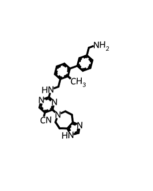 Cc1c(CNc2ncc(C#N)c(N3CCc4nc[nH]c4CC3)n2)cccc1-c1cccc(CN)c1